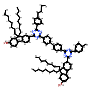 CCCCCCCCC1(CCCCCCCC)c2cc(Br)ccc2-c2ccc(-c3nc(-c4ccc(C)cc4)nc(-c4ccc(-c5ccc(-c6nc(-c7ccc(CCCC)cc7)nc(-c7ccc8c(c7)C(CCCCCCCC)(CCCCCCCC)c7cc(Br)ccc7-8)n6)cc5)cc4)n3)cc21